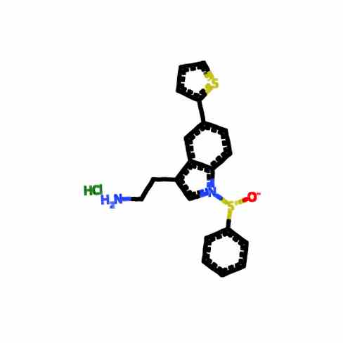 Cl.NCCc1cn([S+]([O-])c2ccccc2)c2ccc(-c3cccs3)cc12